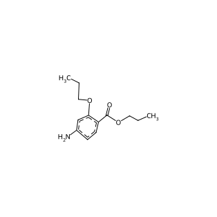 CCCOC(=O)c1ccc(N)cc1OCCC